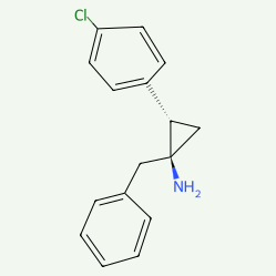 N[C@]1(Cc2ccccc2)C[C@H]1c1ccc(Cl)cc1